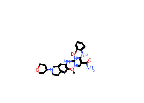 COc1cc2c(cc1Nc1ncc(C(N)=O)c(Nc3ccccc3Br)n1)CN(C1CCOCC1)CC2